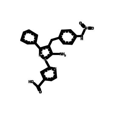 Nc1c(Cc2ccc(N[SH](=O)=O)cc2)c(-c2ccccc2)nn1-c1cc(C(=O)O)ccn1